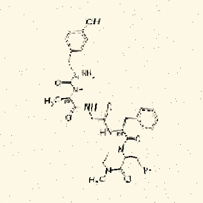 CC(C)CC1C(=O)N(C)CCN1C(=O)[C@H](Cc1ccccc1)NC(=O)CNC(=O)[C@@H](C)NC(=O)[C@@H](N)Cc1ccc(O)cc1